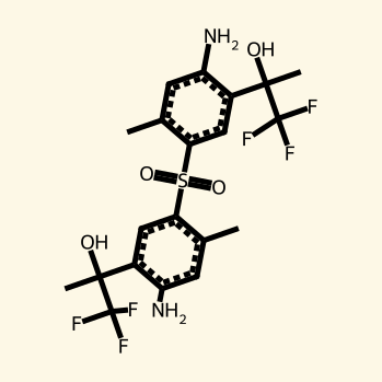 Cc1cc(N)c(C(C)(O)C(F)(F)F)cc1S(=O)(=O)c1cc(C(C)(O)C(F)(F)F)c(N)cc1C